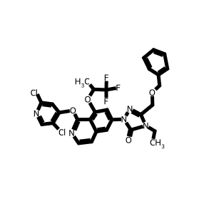 CCn1c(COCc2ccccc2)nn(-c2cc(OC(C)C(F)(F)F)c3c(Oc4cc(Cl)ncc4Cl)nccc3c2)c1=O